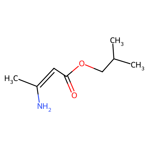 C/C(N)=C/C(=O)OCC(C)C